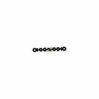 c1ccc2cc(-c3ccc(-c4ccc(-c5cc6sc(-c7ccc(-c8ccc(-c9cc%10cccccc-%10c9)cc8)cc7)cc6s5)cc4)cc3)cc-2cc1